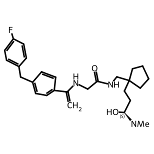 C=C(NCC(=O)NCC1(CC[C@H](O)NC)CCCC1)c1ccc(Cc2ccc(F)cc2)cc1